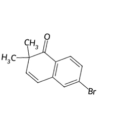 CC1(C)C=Cc2cc(Br)ccc2C1=O